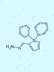 NN=CC1=CC=CS1(c1ccccc1)c1ccccc1